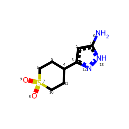 Nc1cc(C2CCS(=O)(=O)CC2)n[nH]1